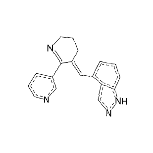 C(=C1CCCN=C1c1cccnc1)c1cccc2[nH]ncc12